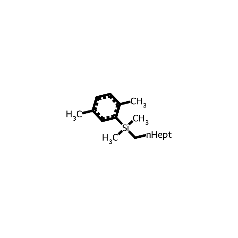 CCCCCCCC[Si](C)(C)c1cc(C)ccc1C